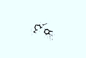 Cc1cc(-n2c([C@H](C)F)nc3ccc(C(F)(F)F)nc32)cc2cn[nH]c12